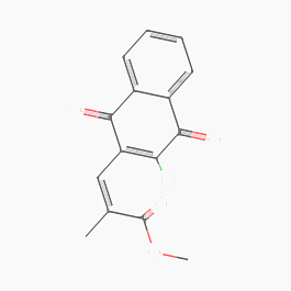 COC(=O)/C(C)=C\C1=C(Cl)C(=O)c2ccccc2C1=O